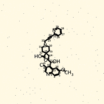 COc1ccc2ncc(Cl)c([C@H](O)CCC3(C(=O)O)CCN(CC#Cc4ccccn4)CC3)c2c1